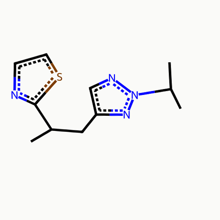 CC(Cc1cnn(C(C)C)n1)c1nccs1